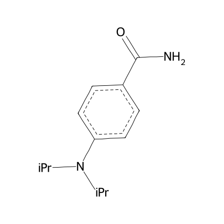 CC(C)N(c1ccc(C(N)=O)cc1)C(C)C